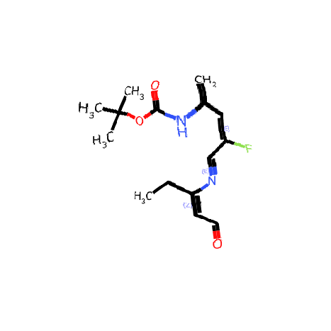 C=C(\C=C(F)/C=N/C(=C\C=O)CC)NC(=O)OC(C)(C)C